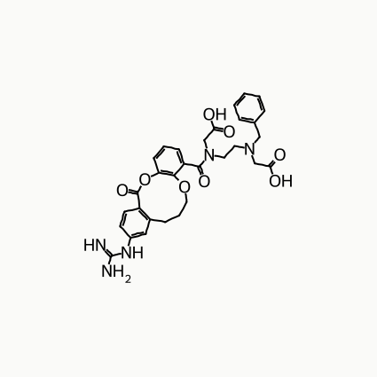 N=C(N)Nc1ccc2c(c1)CCCOc1c(cccc1C(=O)N(CCN(CC(=O)O)Cc1ccccc1)CC(=O)O)OC2=O